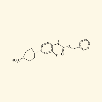 O=C(Nc1ccc([C@H]2CC[C@H](C(=O)O)CC2)cc1F)OCc1ccccc1